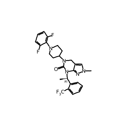 C[C@H](c1ccccc1C(F)(F)F)N1C(=O)N(C2CCN(c3c(F)cccc3F)CC2)Cc2cn(C)nc21